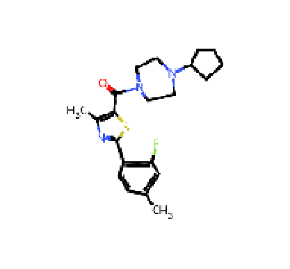 Cc1ccc(-c2nc(C)c(C(=O)N3CCN(C4CCCC4)CC3)s2)c(F)c1